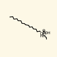 CCCCCCCCCCCCCCCCOP(=O)(O)NCC